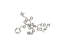 CC(C)(C)OC(=O)N(C[C@@H](NC(=O)OCc1ccccc1)C(=O)OCC[Si](C)(C)C)[C@@H](CC(=O)O)C(=O)O